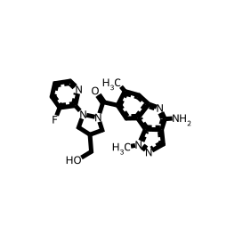 Cc1cc2nc(N)c3cnn(C)c3c2cc1C(=O)N1CC(CO)CN1c1ncccc1F